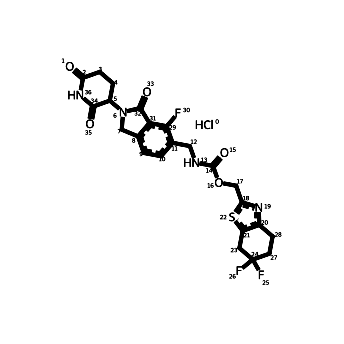 Cl.O=C1CCC(N2Cc3ccc(CNC(=O)OCc4nc5c(s4)CC(F)(F)CC5)c(F)c3C2=O)C(=O)N1